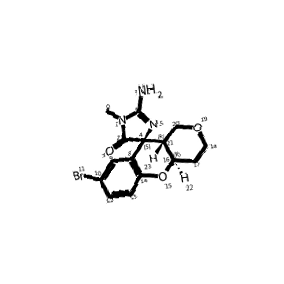 CN1C(=O)[C@@]2(N=C1N)c1cc(Br)ccc1O[C@@H]1CCOC[C@H]12